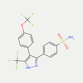 NS(=O)(=O)c1ccc(-c2n[nH]c(C(F)(F)F)c2-c2ccc(OC(F)(F)F)cc2)cc1